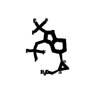 CC[C@H]1C[C@@H]1c1ccc2nc(C(F)(F)F)c(CC(F)(F)F)n2c1